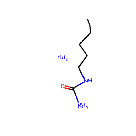 CCCCCNC(N)=O.N